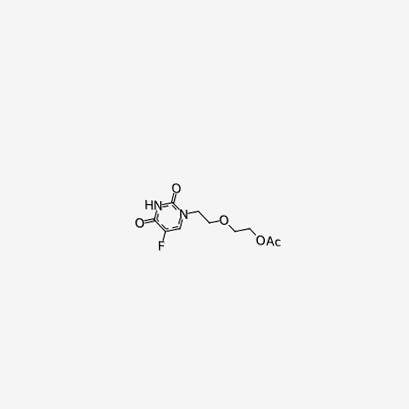 CC(=O)OCCOCCn1cc(F)c(=O)[nH]c1=O